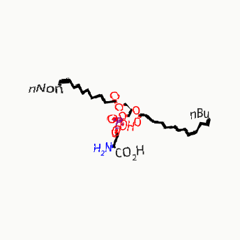 CCCC/C=C\C/C=C\CCCCCCCC(=O)O[C@H](COC(=O)CCCCCCC/C=C\CCCCCCCCC)COP(=O)(O)OC[C@H](N)C(=O)O